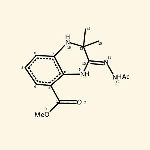 COC(=O)c1cccc2c1N/C(=N\NC(C)=O)C(C)(C)N2